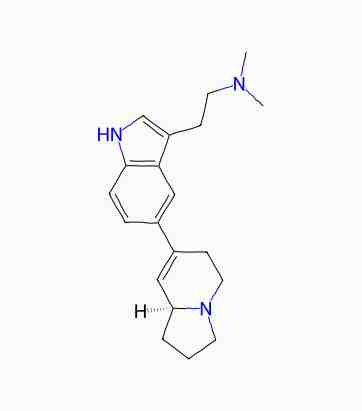 CN(C)CCc1c[nH]c2ccc(C3=C[C@@H]4CCCN4CC3)cc12